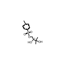 Cc1ccc(S(=O)(=O)OC[C@H](O)C(C)(C)O)cc1